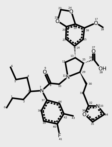 CCCC(CCC)N(C(=O)CN1C[C@H](c2cc(OC)c3c(c2)OCO3)[C@H](C(=O)O)[C@H]1CCc1ncco1)c1ccc(F)c(C)c1